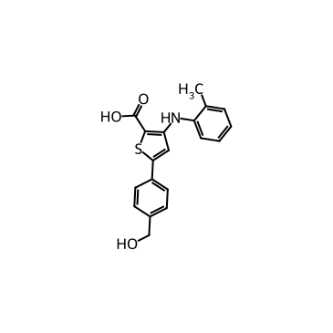 Cc1ccccc1Nc1cc(-c2ccc(CO)cc2)sc1C(=O)O